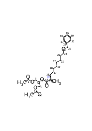 CC(=O)OCC(COC(C)=O)OC(=O)/C(C)=C/CCCCCCCOCc1ccccc1